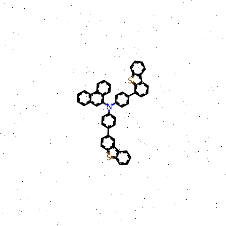 c1ccc2c(c1)cc(N(c1ccc(-c3ccc4sc5ccccc5c4c3)cc1)c1ccc(-c3cccc4c3sc3ccccc34)cc1)c1ccccc12